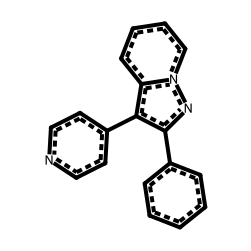 c1ccc(-c2nn3ccccc3c2-c2ccncc2)cc1